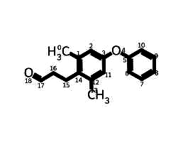 Cc1cc(Oc2ccccc2)cc(C)c1CCC=O